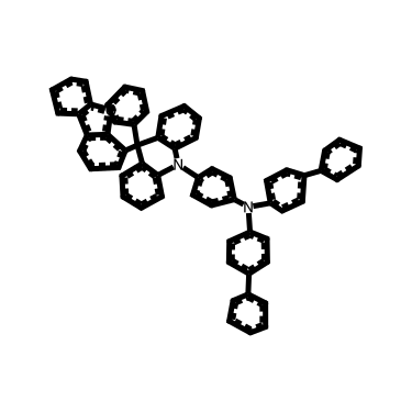 c1ccc(-c2ccc(N(c3ccc(-c4ccccc4)cc3)c3ccc(N4c5ccccc5C(c5ccccc5)(c5cccc6c5oc5ccccc56)c5ccccc54)cc3)cc2)cc1